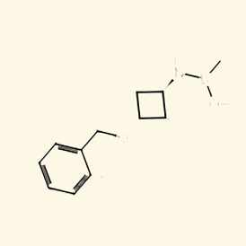 CB(O)N[C@H]1C[C@H](OCc2ccccc2)C1